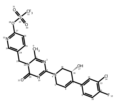 Cc1nc(N2CC=C(c3ccc(F)c(Cl)c3)[C@@H](O)C2)nc(=O)n1Cc1ccc(OS(=O)(=O)C(F)(F)F)nc1